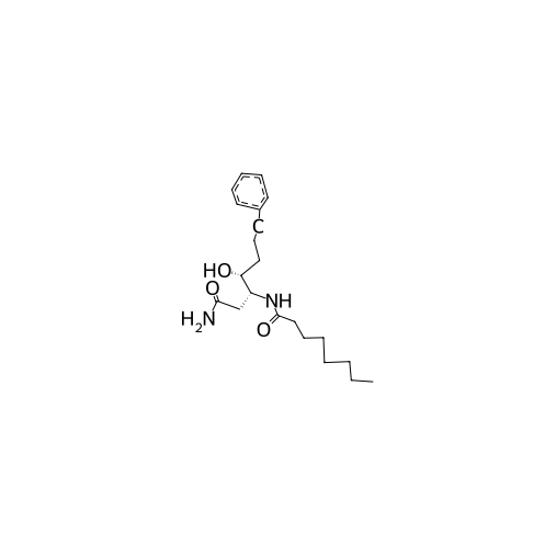 CCCCCCCC(=O)N[C@H](CC(N)=O)[C@H](O)CCCc1ccccc1